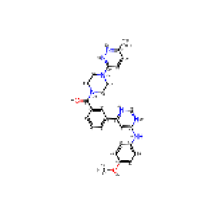 O=C(c1cccc(-c2cc(Nc3ccc(OC(F)(F)F)cc3)ncn2)c1)N1CCN(c2ccc(C(F)(F)F)nn2)CC1